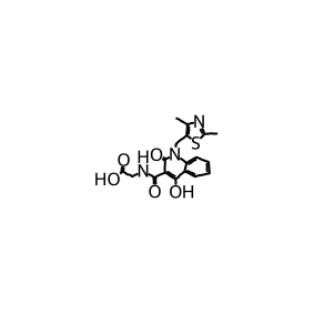 Cc1nc(C)c(Cn2c(=O)c(C(=O)NCC(=O)O)c(O)c3ccccc32)s1